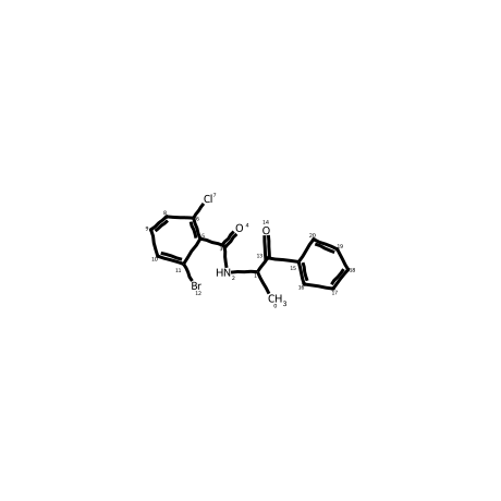 CC(NC(=O)c1c(Cl)cccc1Br)C(=O)c1ccccc1